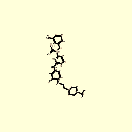 CC(C)N1CCN(CCOc2ccc(Nc3nccc(N(Cc4cccc(Cl)c4)C(=O)O)n3)cc2F)CC1